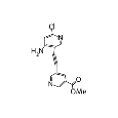 COC(=O)c1cncc(C#Cc2cnc(Cl)cc2N)c1